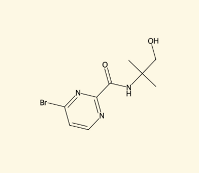 CC(C)(CO)NC(=O)c1nccc(Br)n1